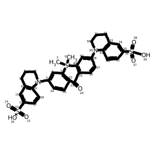 CS1(C)c2cc(N3CCCc4cc(S(=O)(=O)O)ccc43)ccc2C(=O)c2ccc(N3CCCc4cc(S(=O)(=O)O)ccc43)cc21